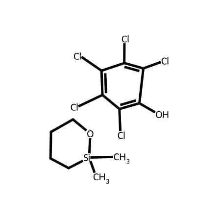 C[Si]1(C)CCCCO1.Oc1c(Cl)c(Cl)c(Cl)c(Cl)c1Cl